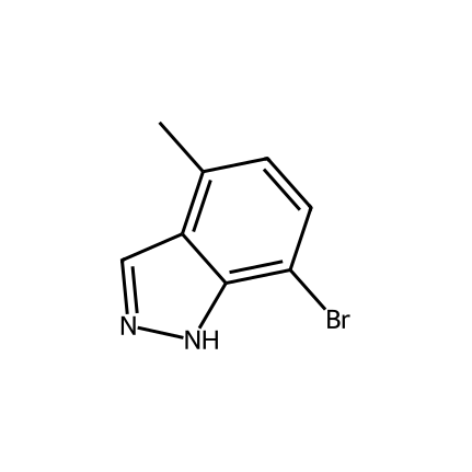 Cc1ccc(Br)c2[nH]ncc12